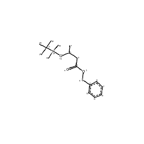 CC(CC(=O)OSc1ccccc1)O[Si](C)(C)C(C)(C)C